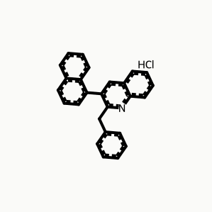 Cl.c1ccc(Cc2nc3ccccc3cc2-c2cccc3ccccc23)cc1